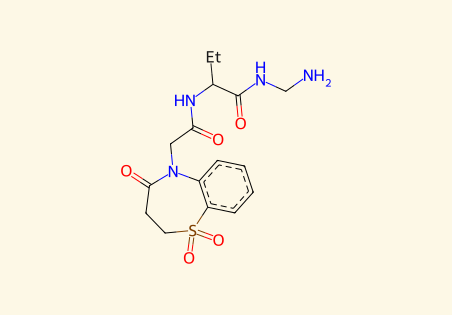 CCC(NC(=O)CN1C(=O)CCS(=O)(=O)c2ccccc21)C(=O)NCN